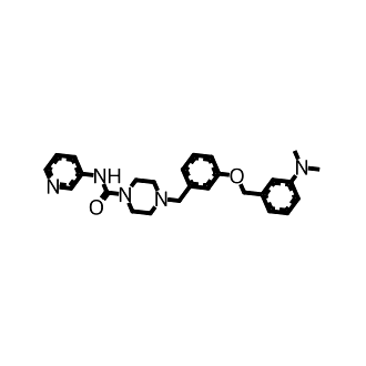 CN(C)c1cccc(COc2cccc(CN3CCN(C(=O)Nc4cccnc4)CC3)c2)c1